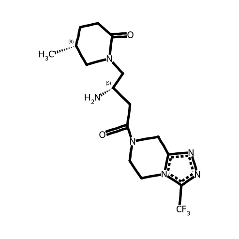 C[C@@H]1CCC(=O)N(C[C@@H](N)CC(=O)N2CCn3c(nnc3C(F)(F)F)C2)C1